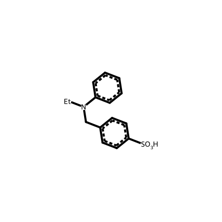 CCN(Cc1ccc(S(=O)(=O)O)cc1)c1ccccc1